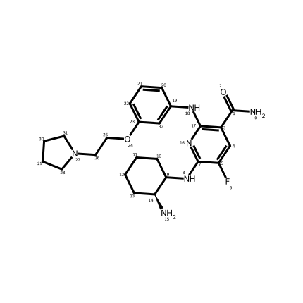 NC(=O)c1cc(F)c(NC2CCCC[C@@H]2N)nc1Nc1cccc(OCCN2CCCC2)c1